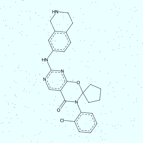 O=C1c2cnc(Nc3ccc4c(c3)CNCC4)nc2OC2(CCCC2)N1c1ccccc1Cl